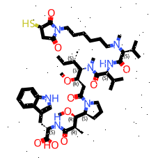 CC[C@H](C)[C@@H]([C@@H](CC(=O)N1CCC[C@H]1[C@H](OC)[C@@H](C)C(=O)N[C@@H](Cc1c[nH]c2ccccc12)C(=O)O)OC)N(C)C(=O)[C@@H](NC(=O)[C@H](C(C)C)N(C)CCCCCCN1C(=O)CC(S)C1=O)C(C)C